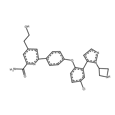 NC(=O)c1cc(CCO)cc(-c2ccc(Oc3ccc(Cl)cc3-c3ccnn3C3CNC3)cc2)n1